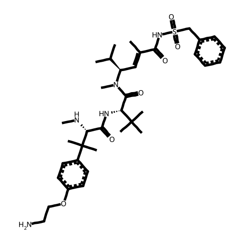 CN[C@H](C(=O)N[C@H](C(=O)N(C)[C@H](/C=C(\C)C(=O)NS(=O)(=O)Cc1ccccc1)C(C)C)C(C)(C)C)C(C)(C)c1ccc(OCCN)cc1